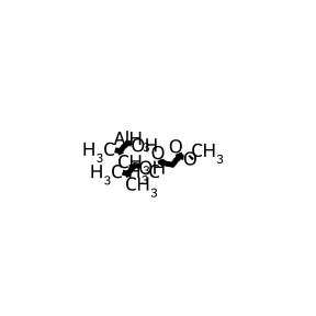 CC(C)CO.CC(C)CO.COC(=O)CC(C)=O.[AlH3]